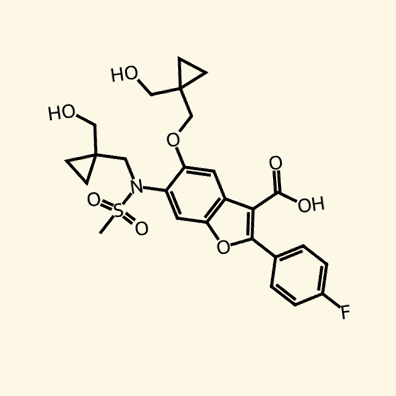 CS(=O)(=O)N(CC1(CO)CC1)c1cc2oc(-c3ccc(F)cc3)c(C(=O)O)c2cc1OCC1(CO)CC1